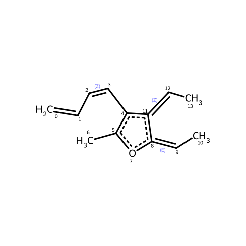 C=C/C=C\c1c(C)oc(=C/C)/c1=C\C